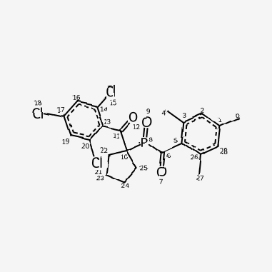 Cc1cc(C)c(C(=O)[P](=O)C2(C(=O)c3c(Cl)cc(Cl)cc3Cl)CCCC2)c(C)c1